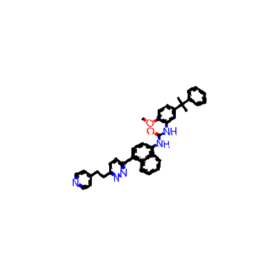 COc1ccc(C(C)(C)c2ccccc2)cc1NC(=O)Nc1ccc(-c2ccc(CCc3ccncc3)nn2)c2ccccc12